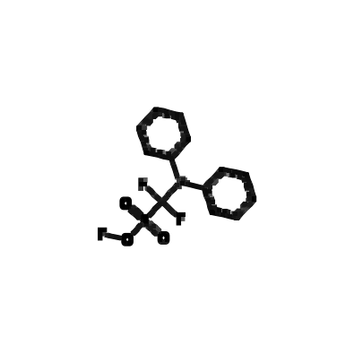 O=S(=O)(OF)C(F)(F)[I+](c1ccccc1)c1ccccc1